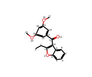 CCc1oc2ccccc2c1C(=O)c1cc(OC)cc(OC)c1